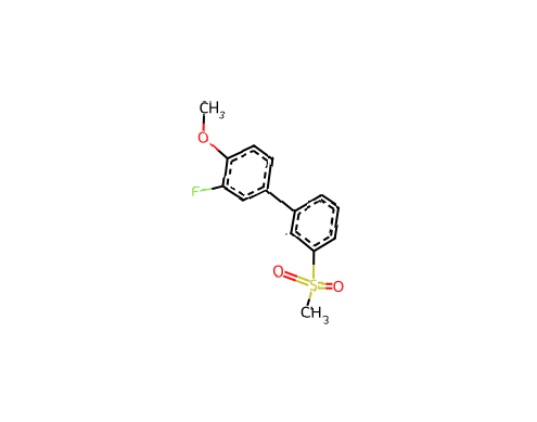 COc1ccc(-c2[c]c(S(C)(=O)=O)ccc2)cc1F